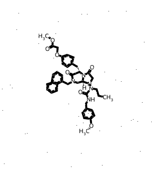 CCCN(C(=O)NCc1ccc(OC)cc1)N1CC(=O)N2[C@@H](Cc3ccc(OCC(=O)OC)cc3)C(=O)N(Cc3cccc4ccccc34)C[C@@H]21